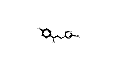 CC[C@H](CC[C@H]1COC(N)=N1)c1ccc(F)cc1